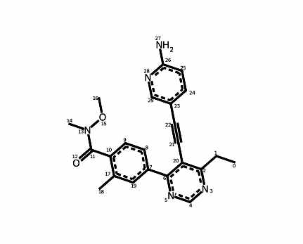 CCc1ncnc(-c2ccc(C(=O)N(C)OC)c(C)c2)c1C#Cc1ccc(N)nc1